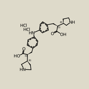 Cl.Cl.O=C(O)[C@@H](Cc1ccc(Nc2ccc(C[C@H](C(=O)O)[C@H]3CCNC3)cc2)cc1)[C@H]1CCNC1